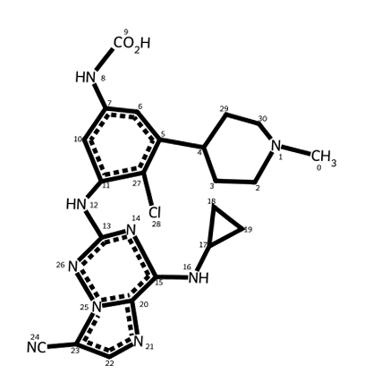 CN1CCC(c2cc(NC(=O)O)cc(Nc3nc(NC4CC4)c4ncc(C#N)n4n3)c2Cl)CC1